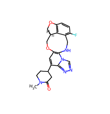 CN1CCC(c2cc3c(n4cnnc24)NCc2c(F)ccc4c2[C@@H](CO4)CO3)CC1=O